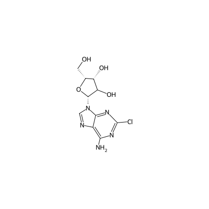 Nc1nc(Cl)nc2c1ncn2[C@@H]1O[C@H](CO)[C@H](O)C1O